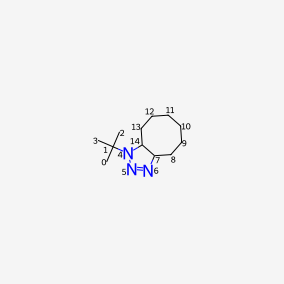 CC(C)(C)N1N=NC2CCCCCCC21